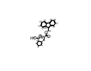 O=C(NC[C@H]1CCC[C@H]1C(=O)O)OCC1c2ccccc2-c2ccccc21